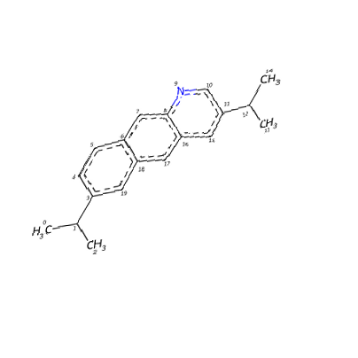 CC(C)c1ccc2cc3ncc(C(C)C)cc3cc2c1